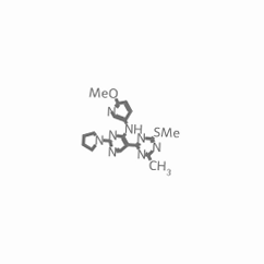 COc1ccc(Nc2nc(N3CCCC3)ncc2-c2nc(C)nc(SC)n2)cn1